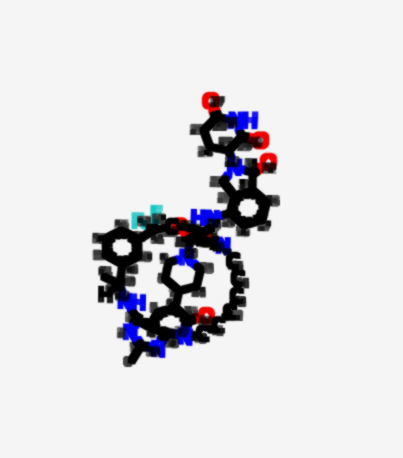 Cc1nc2c3cc(C4CCN(C(=O)CNc5cccc6c5CN(C5CCC(=O)NC5=O)C6=O)CC4)c(=O)n(c3n1)CCCCCCN1CC(C1)CC(F)(F)c1cccc(c1)[C@@H](C)N2